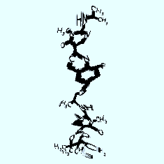 CC(C)Nc1ncc(-c2ccc3cc(OCC(C)Nc4ncc(B5OC(C)(C)C(C)(C)O5)c(=O)n4C)cc(F)c3n2)c(=O)n1C